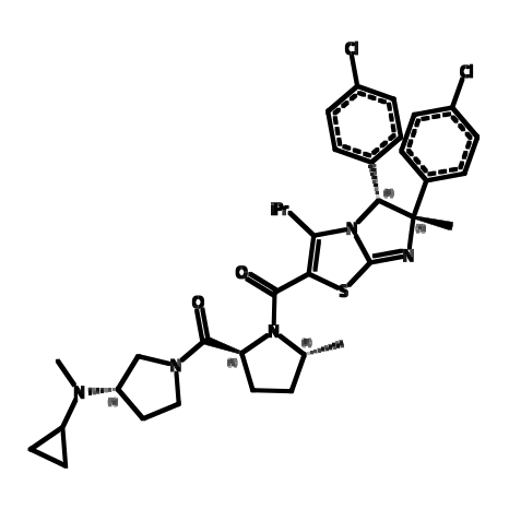 CC(C)C1=C(C(=O)N2[C@H](C)CC[C@H]2C(=O)N2CC[C@H](N(C)C3CC3)C2)SC2=N[C@@](C)(c3ccc(Cl)cc3)[C@@H](c3ccc(Cl)cc3)N21